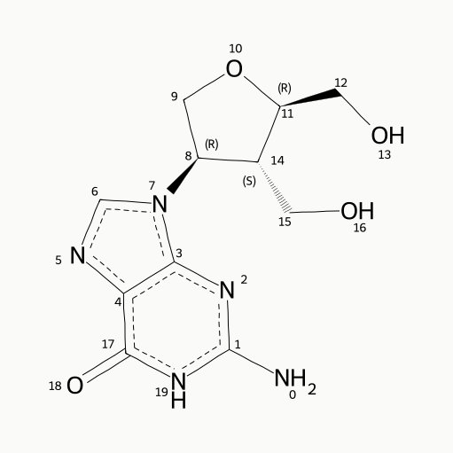 Nc1nc2c(ncn2[C@H]2CO[C@@H](CO)[C@@H]2CO)c(=O)[nH]1